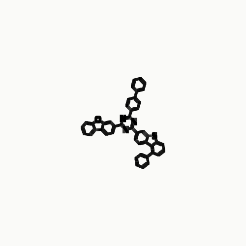 c1ccc(-c2ccc(-c3nc(-c4ccc5c(c4)oc4ccccc45)nc(-c4ccc5c(c4)sc4cccc(-c6ccccc6)c45)n3)cc2)cc1